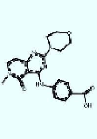 Cn1ccc2nc(N3CCOCC3)nc(Nc3ccc(C(=O)O)cc3)c2c1=O